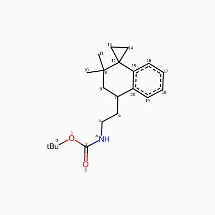 CC(C)(C)OC(=O)NCCC1CC(C)(C)C2(CC2)c2ccccc21